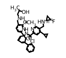 COc1nc(C2(NC(=O)c3cc(C4CC4)c(CN[C@@H]4C[C@@H]4F)cn3)C=CC=C(c3ccccc3Cl)C2Cl)ccc1CNCC(C)O